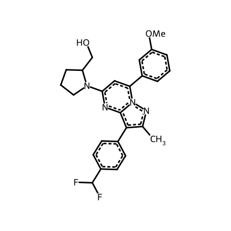 COc1cccc(-c2cc(N3CCCC3CO)nc3c(-c4ccc(C(F)F)cc4)c(C)nn23)c1